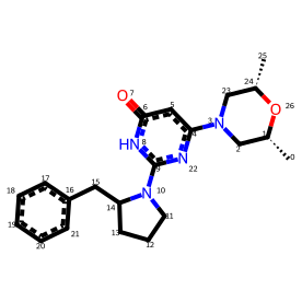 C[C@@H]1CN(c2cc(=O)[nH]c(N3CCCC3Cc3ccccc3)n2)C[C@H](C)O1